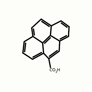 O=C(O)c1cc2cccc3ccc4cccc1c4c32